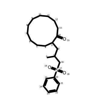 CC(CC1CCCCCCCCCCC1=O)CS(=O)(=O)c1ccccc1